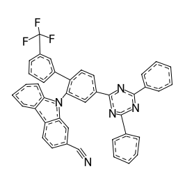 N#Cc1ccc2c3ccccc3n(-c3cc(-c4nc(-c5ccccc5)nc(-c5ccccc5)n4)ccc3-c3cccc(C(F)(F)F)c3)c2c1